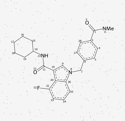 CNC(=O)c1ccc(Cn2cc(C(=O)NC3CCCCC3)c3c(F)cccc32)cc1